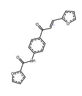 O=C(/C=C/c1ccco1)c1ccc(NC(=O)c2ccco2)cc1